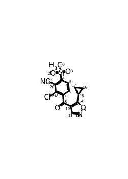 CS(=O)(=O)c1ccc(C(=O)c2cnoc2C2CC2)c(Cl)c1C#N